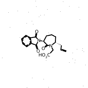 C=CC[C@H]1CCC[C@H](N2C(=O)c3ccccc3C2=O)C(=O)N1CC(=O)O